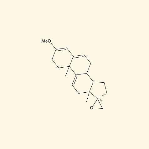 COC1=CC2=CCC3C(=CCC4(C)C3CC[C@@]43CO3)C2(C)CC1